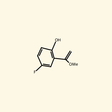 C=C(OC)c1cc(F)ccc1O